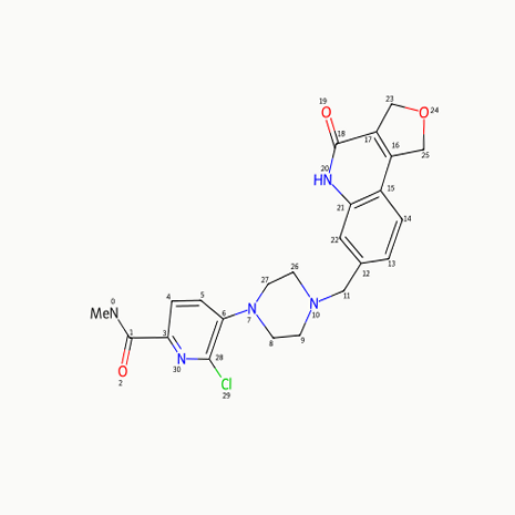 CNC(=O)c1ccc(N2CCN(Cc3ccc4c5c(c(=O)[nH]c4c3)COC5)CC2)c(Cl)n1